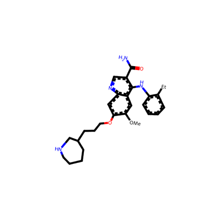 CCc1ccccc1Nc1c(C(N)=O)cnc2cc(OCCCC3CCCCNC3)c(OC)cc12